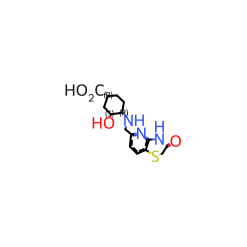 O=C1CSc2ccc(CN[C@@H]3CC[C@@H](C(=O)O)C[C@@H]3O)nc2N1